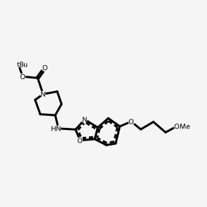 COCCCOc1ccc2oc(NC3CCN(C(=O)OC(C)(C)C)CC3)nc2c1